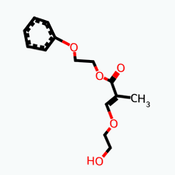 CC(=COCCO)C(=O)OCCOc1ccccc1